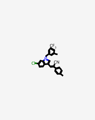 Cc1ccc(/C(C#N)=C/c2cn(Cc3cc(C)cc(C(F)(F)F)c3)c3cc(Cl)ccc23)cc1